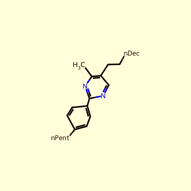 CCCCCCCCCCCCc1cnc(-c2ccc(CCCCC)cc2)nc1C